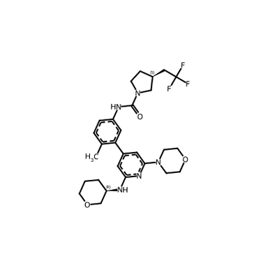 Cc1ccc(NC(=O)N2CC[C@@H](CC(F)(F)F)C2)cc1-c1cc(N[C@@H]2CCCOC2)nc(N2CCOCC2)c1